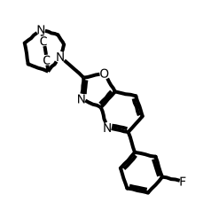 Fc1cccc(-c2ccc3oc(N4CCN5CCC4CC5)nc3n2)c1